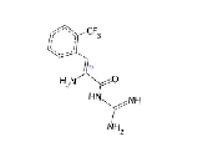 N=C(N)NC(=O)/C(N)=C/c1ccccc1C(F)(F)F